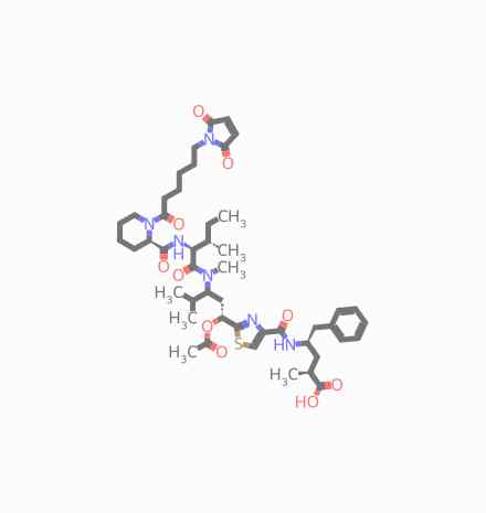 CC[C@H](C)[C@H](NC(=O)[C@H]1CCCCN1C(=O)CCCCCN1C(=O)C=CC1=O)C(=O)N(C)C(C[C@@H](OC(C)=O)c1nc(C(=O)N[C@@H](Cc2ccccc2)C[C@H](C)C(=O)O)cs1)C(C)C